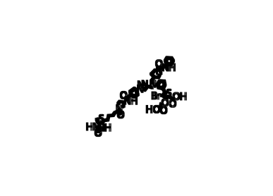 O=C(O)COc1c(C(=O)O)sc(-c2cccc(N(Cc3cn(-c4ccc(C(=O)NC5CCN(C(=O)CCCCC6SCC7NC(=O)NC76)C5)cc4)nn3)CC3CCN(C(=O)Nc4ccccc4)CC3)c2)c1Br